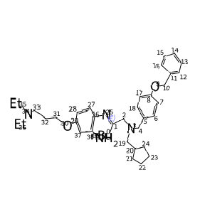 CCCC/C(CN(Cc1ccc(OCc2ccccc2)cc1)CC1CCCC1)=N\c1ccc(OCCCN(CC)CC)cc1N